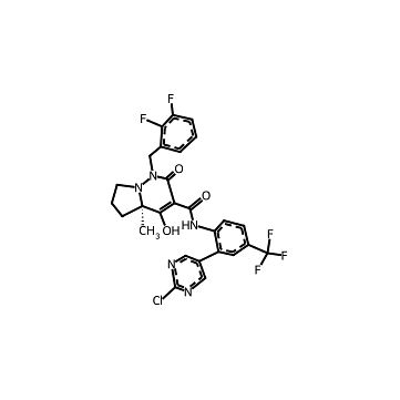 C[C@]12CCCN1N(Cc1cccc(F)c1F)C(=O)C(C(=O)Nc1ccc(C(F)(F)F)cc1-c1cnc(Cl)nc1)=C2O